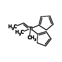 C[CH]=[Ti]([CH3])([CH3])([C]1=CC=CC1)[C]1=CC=CC1